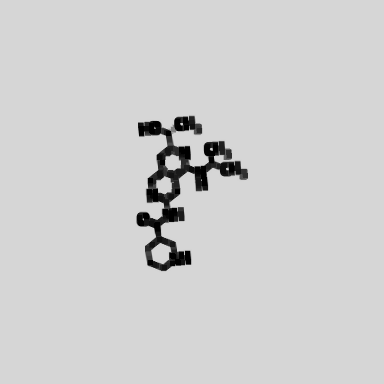 CC(C)Nc1nc([C@@H](C)O)cc2cnc(NC(=O)[C@@H]3CCCNC3)cc12